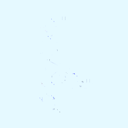 CN(C)CC(=O)N1CCC(c2ccc(NC(=O)C3=NC(C#N)CN3)c(C3=CCC(C)(C)NC3)c2)CC1